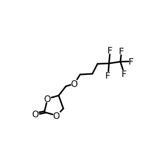 O=C1OCC(COCCCC(F)(F)C(F)(F)F)O1